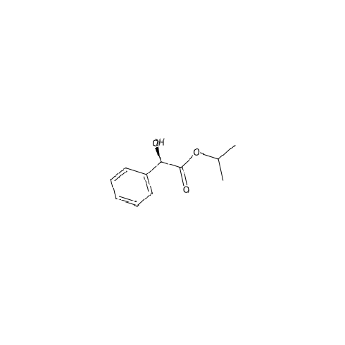 CC(C)OC(=O)[C@H](O)c1ccccc1